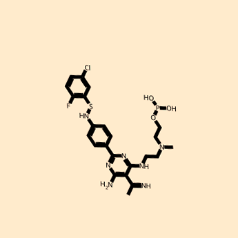 CC(=N)c1c(N)nc(-c2ccc(NSc3cc(Cl)ccc3F)cc2)nc1NCCN(C)CCOP(O)O